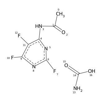 CC(=O)Nc1nc(F)nc(F)c1F.NC(=O)O